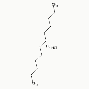 CCCCCCCCCCCC.Cl.Cl